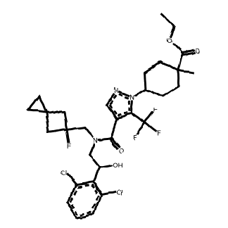 CCOC(=O)C1(C)CCC(n2ncc(C(=O)N(CC(O)c3c(Cl)cccc3Cl)CC3(F)CC4(CC4)C3)c2C(F)(F)F)CC1